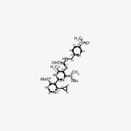 CC[C@H](C)N(C)c1nc(-c2c(OC)ncnc2C2CC2)nc(C)c1/N=C(\C=O)NCc1ccc([S+](C)[O-])cn1